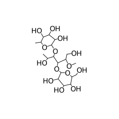 COC(CO)C(OC1OC(CO)C(O)C(O)C1O)C(OC1OC(C)C(O)C(O)C1O)C(C)O